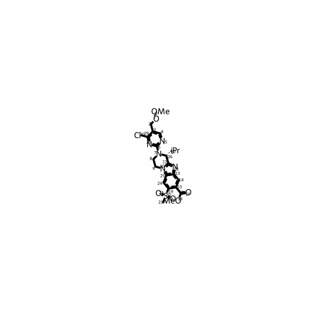 COOCc1cnc(N2CCn3c(nc4cc(C(=O)OC)c(S(C)(=O)=O)cc43)[C@H]2C(C)C)nc1Cl